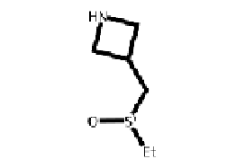 CC[S+]([O-])CC1CNC1